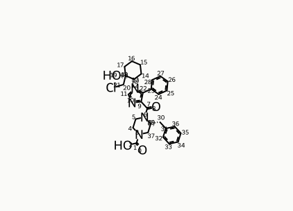 O=C(O)N1CCN(C(=O)c2ncn([C@H]3CCCC[C@]3(O)CCl)c2-c2ccccc2)[C@H](Cc2ccccc2)C1